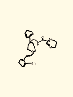 O=C(NCC1(c2ccccc2)CCN(C=Cc2ccccc2C(F)(F)F)CC1)c1cnccn1